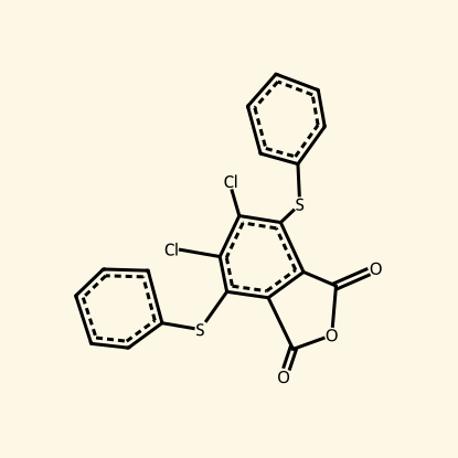 O=C1OC(=O)c2c(Sc3ccccc3)c(Cl)c(Cl)c(Sc3ccccc3)c21